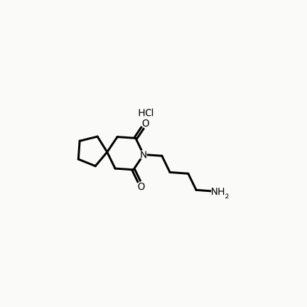 Cl.NCCCCN1C(=O)CC2(CCCC2)CC1=O